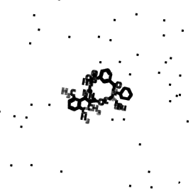 Cc1cccc(C)c1-c1nc2nc(c1C)OC[C@@H](CC(C)(C)C)N(C1CCCCC1)C(=O)c1cccc(c1)S(=O)(=O)N2